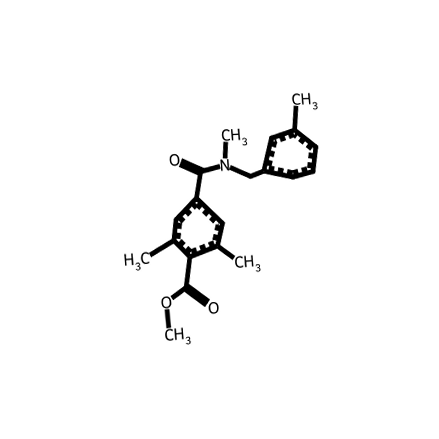 COC(=O)c1c(C)cc(C(=O)N(C)Cc2cccc(C)c2)cc1C